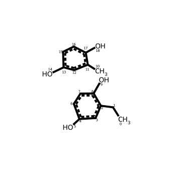 CCc1cc(O)ccc1O.Cc1cc(O)ccc1O